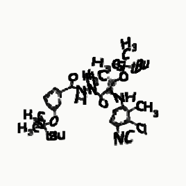 [C-]#[N+]c1ccc(N[C@@H](C(=O)NNC(=O)c2cccc(O[Si](C)(C)C(C)(C)C)c2)[C@H](C)O[Si](C)(C)C(C)(C)C)c(C)c1Cl